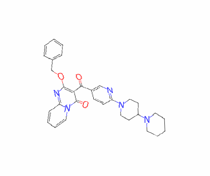 O=C(c1ccc(N2CCC(N3CCCCC3)CC2)nc1)c1c(OCc2ccccc2)nc2ccccn2c1=O